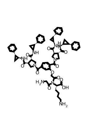 NCCCC[C@@H](C(=O)O)N(C(=O)CN)C(=O)COc1cc(C(=O)N2C[C@@H](C(=O)N[C@H]3C[C@@H]3c3ccccc3)[C@H](C(=O)N[C@H]3C[C@@H]3c3ccccc3)C2)ccc1C(=O)N1C[C@@H](C(=O)N[C@H]2C[C@@H]2c2ccccc2)[C@H](C(=O)N[C@H]2C[C@@H]2c2ccccc2)C1